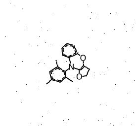 Cc1cc(C)c(N2C3=C(CCO3)Oc3ccccc32)c(C)c1